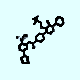 CC1(COc2c(N3CCN([S+]([O-])Cc4cc(-n5cccc5)ccc4[N@H+]([O-])O)CC3)cnn(-c3ccccc3)c2=O)CC1